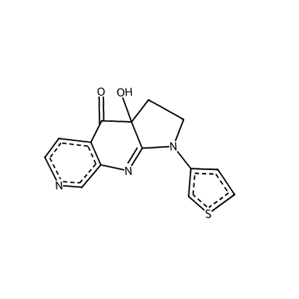 O=C1c2ccncc2N=C2N(c3ccsc3)CCC12O